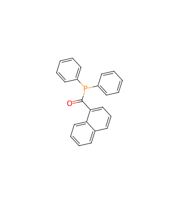 O=C(c1cccc2ccccc12)P(c1ccccc1)c1ccccc1